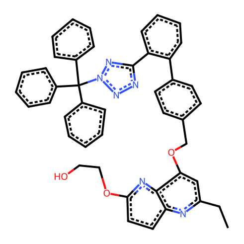 CCc1cc(OCc2ccc(-c3ccccc3-c3nnn(C(c4ccccc4)(c4ccccc4)c4ccccc4)n3)cc2)c2nc(OCCO)ccc2n1